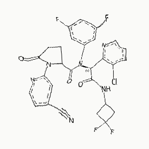 N#Cc1ccnc(N2C(=O)CCC2C(=O)N(c2cc(F)cc(F)c2)[C@H](C(=O)NC2CC(F)(F)C2)c2ncccc2Cl)c1